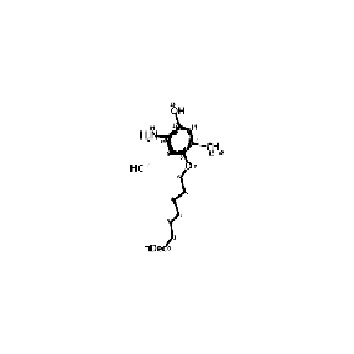 CCCCCCCCCCCCCCCCOc1cc(N)c(O)cc1C.Cl